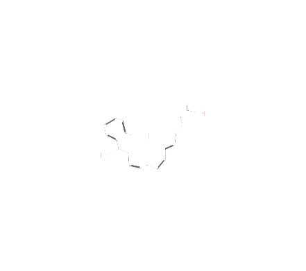 CC(O)CCC/C=C/C=C\C/C=C\CC(C)c1ccccc1C(=O)O